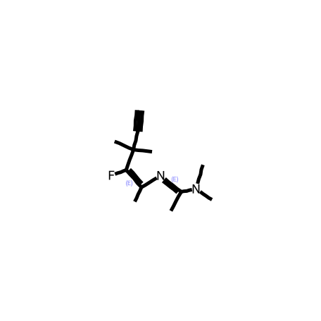 C#CC(C)(C)/C(F)=C(C)\N=C(/C)N(C)C